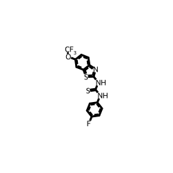 Fc1ccc(NC(=S)Nc2nc3ccc(OC(F)(F)F)cc3s2)cc1